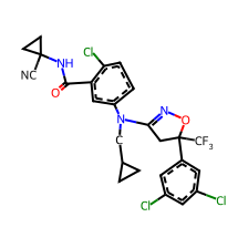 N#CC1(NC(=O)c2cc(N(CC3CC3)C3=NOC(c4cc(Cl)cc(Cl)c4)(C(F)(F)F)C3)ccc2Cl)CC1